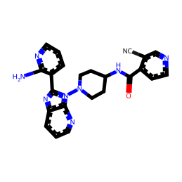 N#Cc1cnccc1C(=O)NC1CCN(n2c(-c3cccnc3N)nc3cccnc32)CC1